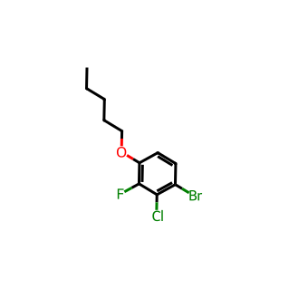 CCCCCOc1ccc(Br)c(Cl)c1F